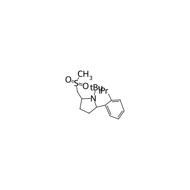 CC(C)c1ccccc1C1CCC(CS(C)(=O)=O)N1C(C)(C)C